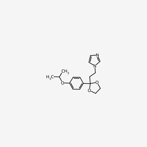 CC(C)Oc1ccc(C2(CCn3ccnc3)OCCO2)cc1